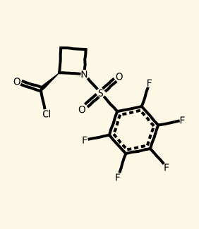 O=C(Cl)[C@H]1CCN1S(=O)(=O)c1c(F)c(F)c(F)c(F)c1F